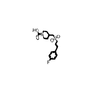 O=C(O)N1CCC(CS(=O)(=O)CC=Cc2ccc(F)cc2)CC1